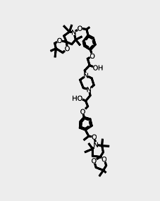 CC(ON1C(C)(C)CC2(CC1(C)C)OCC(C)(C)CO2)c1ccc(OCC(O)CN2CCN(CC(O)COc3ccc(C(C)ON4C(C)(C)CC5(CC4(C)C)OCC(C)(C)CO5)cc3)CC2)cc1